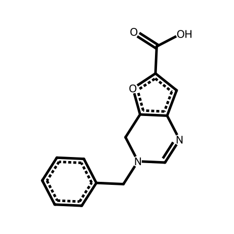 O=C(O)c1cc2c(o1)CN(Cc1ccccc1)C=N2